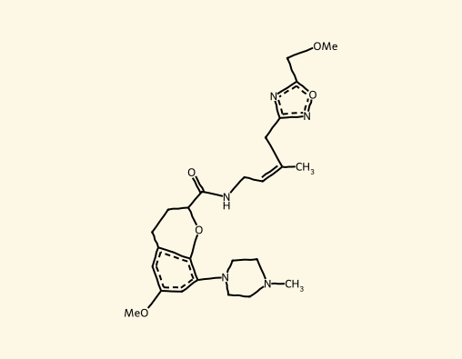 COCc1nc(CC(C)=CCNC(=O)C2CCc3cc(OC)cc(N4CCN(C)CC4)c3O2)no1